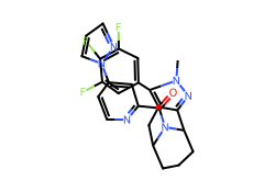 Cn1nc2c(c1-c1cc(F)c(F)c(F)c1)CC1CCCC2N1C(=O)c1cc(-n2cccn2)ccn1